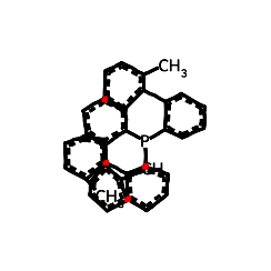 Cc1ccccc1-c1ccccc1P(c1ccccc1-c1ccccc1C)c1ccccc1-c1ccccc1C